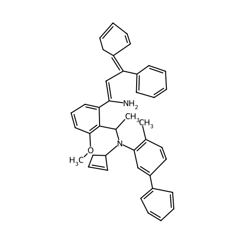 COc1cccc(/C(N)=C/C(=C2/C=CC=CC2)c2ccccc2)c1C(C)N(c1cc(-c2ccccc2)ccc1C)C1C=CC1